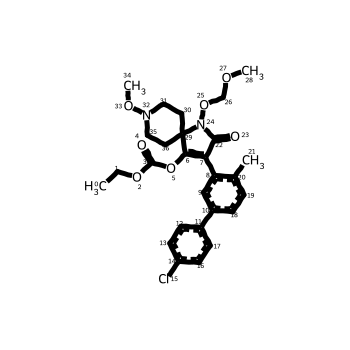 CCOC(=O)OC1=C(c2cc(-c3ccc(Cl)cc3)ccc2C)C(=O)N(OCOC)C12CCN(OC)CC2